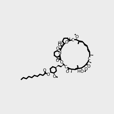 CCCCCCCCCC(=O)O[C@@H]1CC[C@@H](CC[C@@H]2CC(=O)[C@H](C)/C=C(\C)[C@@H](O)[C@@H](OC)C(=O)[C@H](C)C[C@H](C)/C=C/C=C/C=C(\C)[C@@H](OC)C[C@@H]3CC[C@@H](C)[C@@](O)(O3)C(=O)C(=O)N3CCCC[C@H]3C(=O)O2)C[C@H]1OC